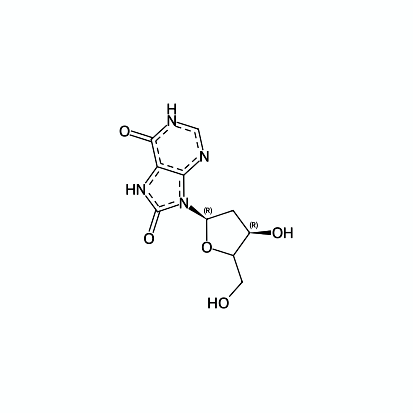 O=c1[nH]cnc2c1[nH]c(=O)n2[C@H]1C[C@@H](O)C(CO)O1